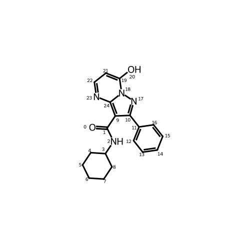 O=C(NC1CCCCC1)c1c(-c2ccccc2)nn2c(O)ccnc12